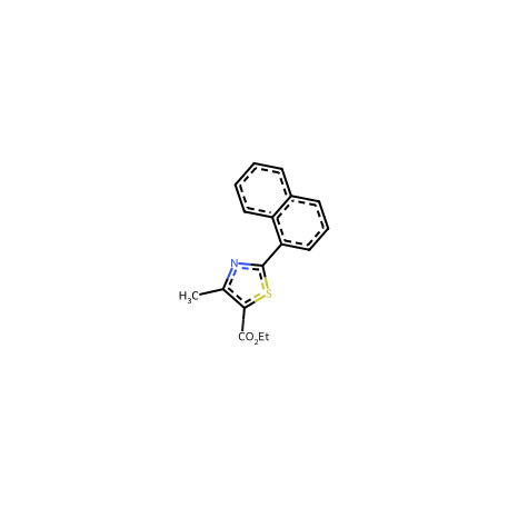 CCOC(=O)c1sc(-c2cccc3ccccc23)nc1C